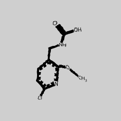 COc1nc(Cl)ccc1CNC(=O)O